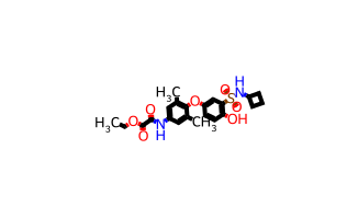 CCOC(=O)C(=O)Nc1cc(C)c(Oc2ccc(O)c(S(=O)(=O)NC3CCC3)c2)c(C)c1